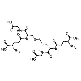 N[C@@H](CCC(=O)N[C@@H](CSSSC[C@H](NC(=O)CC[C@H](N)C(=O)O)C(=O)NCC(=O)O)C(=O)NCC(=O)O)C(=O)O